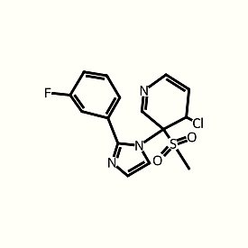 CS(=O)(=O)C1(n2ccnc2-c2cccc(F)c2)C=NC=CC1Cl